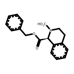 O=C(OCc1ccccc1)[C@@H]1c2ccccc2CCN1C(=O)O